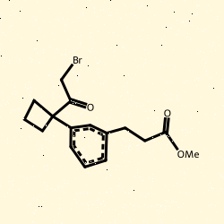 COC(=O)CCc1cccc(C2(C(=O)CBr)CCC2)c1